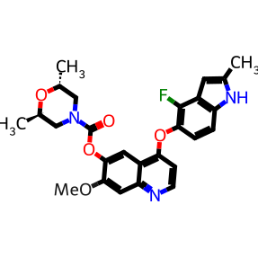 COc1cc2nccc(Oc3ccc4[nH]c(C)cc4c3F)c2cc1OC(=O)N1C[C@@H](C)O[C@H](C)C1